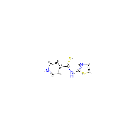 S=C(Nc1nccs1)c1ccncc1